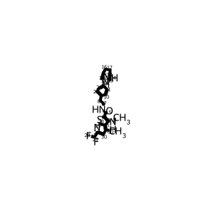 CNc1c(C(=O)NCCc2ccc(N3CC4CC[C@@H](C3)N4)cc2)sc2nc(C(F)F)cc(C)c12